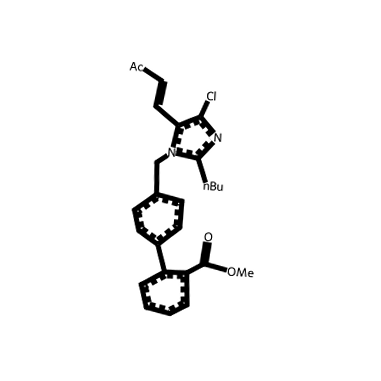 CCCCc1nc(Cl)c(/C=C/C(C)=O)n1Cc1ccc(-c2ccccc2C(=O)OC)cc1